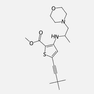 COC(=O)c1sc(C#CC(C)(C)C)cc1NC(C)CN1CCOCC1